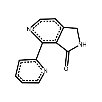 O=C1NCc2ccnc(-c3ccccn3)c21